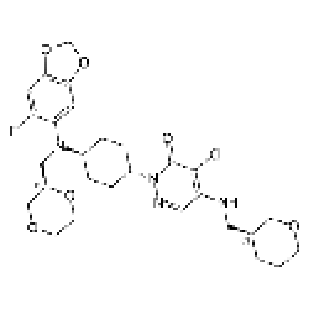 O=c1c(Cl)c(NC[C@@H]2CCCOC2)cnn1[C@H]1CC[C@H](N(C[C@@H]2COCCO2)c2cc3c(cc2F)OCO3)CC1